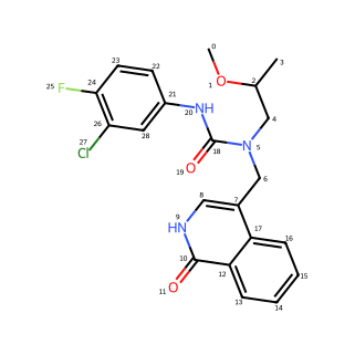 COC(C)CN(Cc1c[nH]c(=O)c2ccccc12)C(=O)Nc1ccc(F)c(Cl)c1